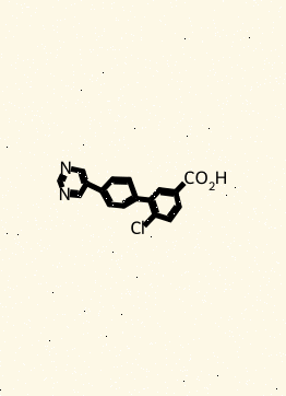 O=C(O)c1ccc(Cl)c(-c2ccc(-c3cncnc3)cc2)c1